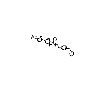 CC(=O)c1ccc(-c2ccc(C(=O)NCCc3ccc(CN4CCCC4)cc3)cc2)s1